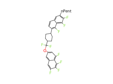 CCCCCc1cc2ccc(C3CCC(C(F)(F)Oc4cc(F)c5c(F)c(F)c(F)cc5c4)CC3)c(F)c2c(F)c1F